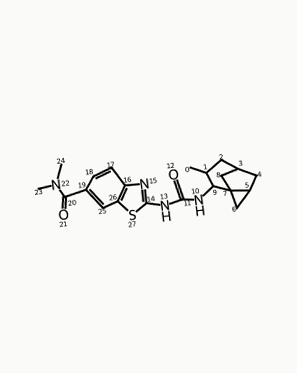 CC1CC2CC3CC3(C2)C1NC(=O)Nc1nc2ccc(C(=O)N(C)C)cc2s1